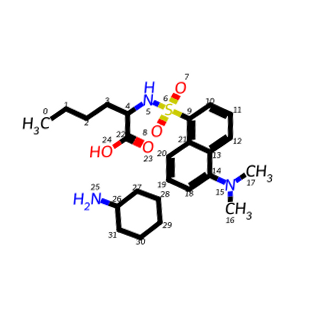 CCCCC(NS(=O)(=O)c1cccc2c(N(C)C)cccc12)C(=O)O.NC1CCCCC1